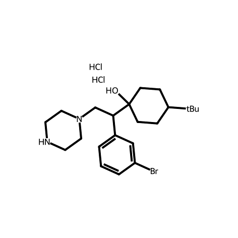 CC(C)(C)C1CCC(O)(C(CN2CCNCC2)c2cccc(Br)c2)CC1.Cl.Cl